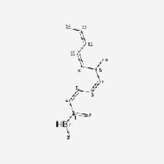 C=C(BC)/C=C\C=C/C(C)/C=C\C=C/C